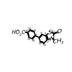 Cn1c(=O)sc2cc(-c3ccc(C(=O)O)cc3)ccc21